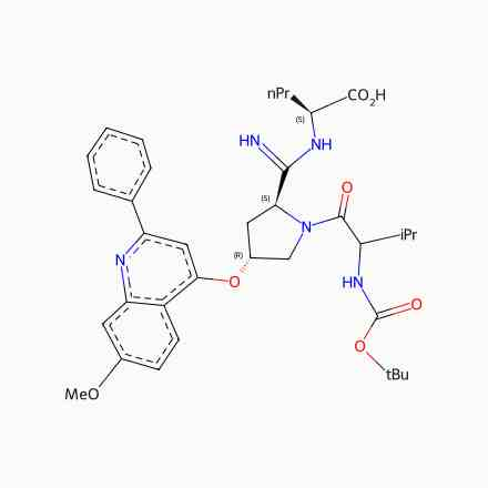 CCC[C@H](NC(=N)[C@@H]1C[C@@H](Oc2cc(-c3ccccc3)nc3cc(OC)ccc23)CN1C(=O)C(NC(=O)OC(C)(C)C)C(C)C)C(=O)O